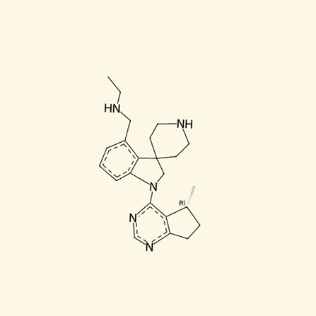 CCNCc1cccc2c1C1(CCNCC1)CN2c1ncnc2c1[C@H](C)CC2